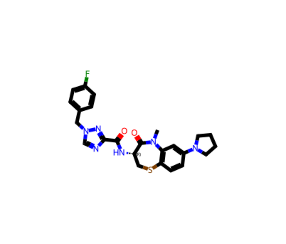 CN1C(=O)[C@@H](NC(=O)c2ncn(Cc3ccc(F)cc3)n2)CSc2ccc(N3CCCC3)cc21